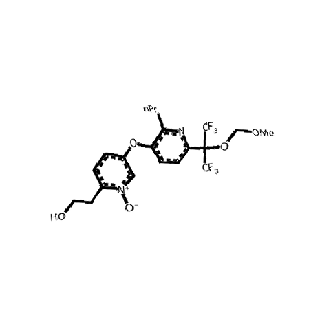 CCCc1nc(C(OCOC)(C(F)(F)F)C(F)(F)F)ccc1Oc1ccc(CCO)[n+]([O-])c1